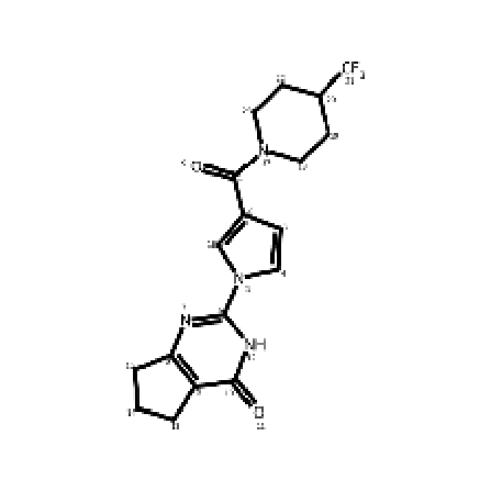 O=C(c1ccn(-c2nc3c(c(=O)[nH]2)CCC3)c1)N1CCC(C(F)(F)F)CC1